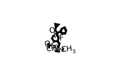 CC(=O)SC1CCN(C(C(=O)C2CC2)c2ccccc2F)CC1=Cc1nccn1C